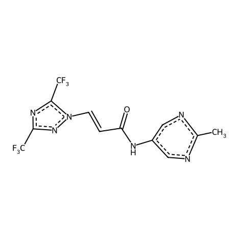 Cc1ncc(NC(=O)C=Cn2nc(C(F)(F)F)nc2C(F)(F)F)cn1